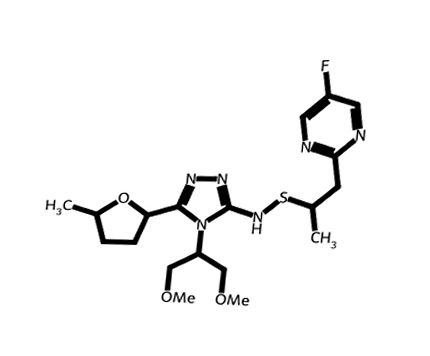 COCC(COC)n1c(NSC(C)Cc2ncc(F)cn2)nnc1C1CCC(C)O1